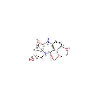 COc1ccc2c(c1OC)C(=O)N1C[C@H](O)C[C@H]1C(=O)N2